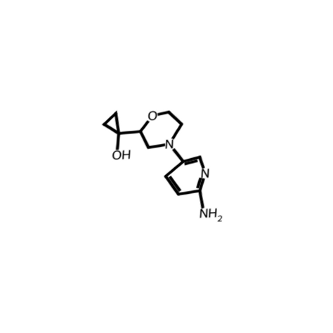 Nc1ccc(N2CCOC(C3(O)CC3)C2)cn1